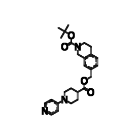 CC(C)(C)OC(=O)N1CCc2ccc(COC(=O)C3CCN(c4ccncc4)CC3)cc2C1